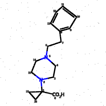 O=C(O)C1(N2CCN(CCc3ccccc3)CC2)CC1